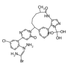 CC1CCCC(n2cnc(-c3cc(Cl)ccc3N(N)/C=C(\N)Br)cc2=O)c2cccc(c2)-c2c(cnn2C(O)(O)O)NC1=O